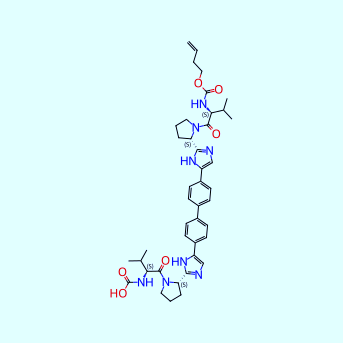 C=CCCOC(=O)N[C@H](C(=O)N1CCC[C@H]1c1ncc(-c2ccc(-c3ccc(-c4cnc([C@@H]5CCCN5C(=O)[C@@H](NC(=O)O)C(C)C)[nH]4)cc3)cc2)[nH]1)C(C)C